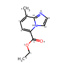 CCOC(=O)c1ccc(C)c2nccn12